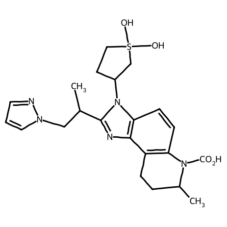 CC(Cn1cccn1)c1nc2c3c(ccc2n1C1CCS(O)(O)C1)N(C(=O)O)C(C)CC3